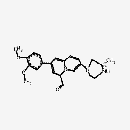 COc1ccc(C2=CC(C=O)N3C=C(N4CCN[C@@H](C)C4)C=CC3=C2)cc1OC